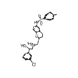 Cc1ccc(S(=O)(=O)Nc2ccc3c(c2)CCC(CNCC(O)c2cccc(Cl)c2)O3)cc1